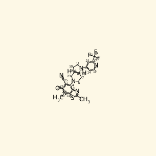 Cc1nc2c(N3CC[C@H]4[C@H](CCN4c4ccnc(C(F)(F)F)c4)C3)c(C#N)c(=O)n(C)c2s1